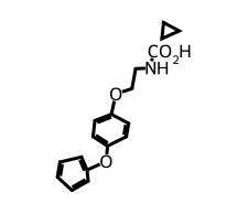 C1CC1.O=C(O)NCCOc1ccc(Oc2ccccc2)cc1